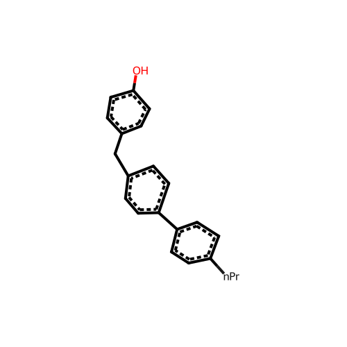 CCCc1ccc(-c2ccc(Cc3ccc(O)cc3)cc2)cc1